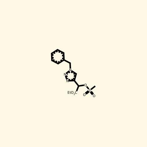 CCOC(=O)C(OS(C)(=O)=O)c1cn(Cc2ccccc2)nn1